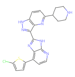 Clc1ccc(-c2ccnc3[nH]c(-c4n[nH]c5ccc(C6CCNCC6)nc45)nc23)s1